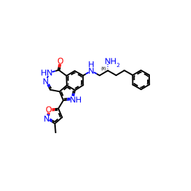 Cc1cc(-c2[nH]c3cc(NC[C@H](N)CCc4ccccc4)cc4c3c2C=NNC4=O)on1